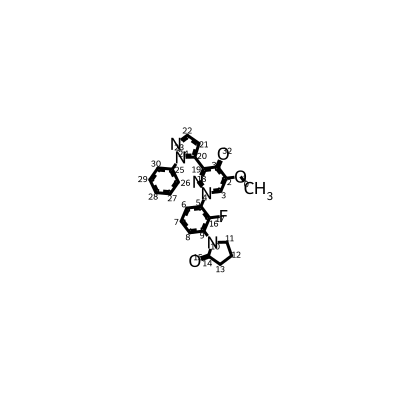 COc1cn(-c2cccc(N3CCCC3=O)c2F)nc(-c2ccnn2-c2ccccc2)c1=O